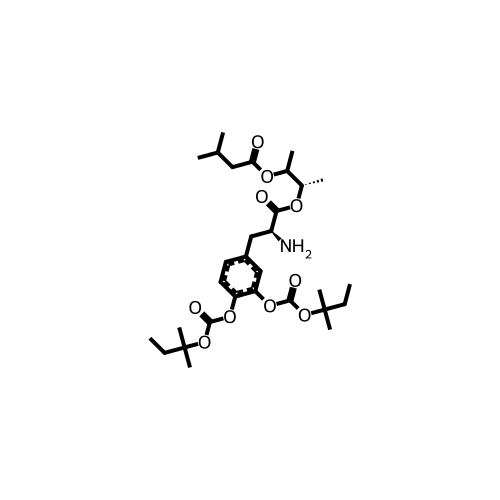 CCC(C)(C)OC(=O)Oc1ccc(C[C@H](N)C(=O)O[C@@H](C)C(C)OC(=O)CC(C)C)cc1OC(=O)OC(C)(C)CC